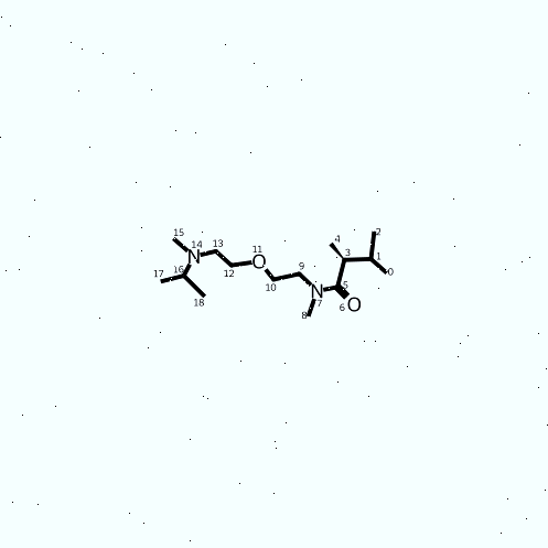 CC(C)[C@H](C)C(=O)N(C)CCOCCN(C)C(C)C